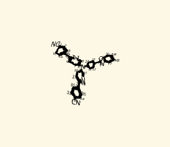 N#Cc1ccc(-c2ccc(N(c3ccc(-c4nc5ccccc5o4)cc3)c3ccc(-c4ccc(C#N)cc4)nc3)cn2)cc1